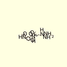 COc1ccc(NC(C)=O)cc1C(=O)N[C@H](CCCNC(=N)N)C(C)=O